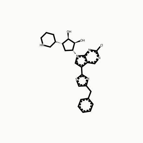 O[C@@H]1[C@H](O)[C@@H](C2CCCNC2)C[C@H]1n1cc(-c2nc(Cc3ccccc3)cs2)c2cnc(Cl)nc21